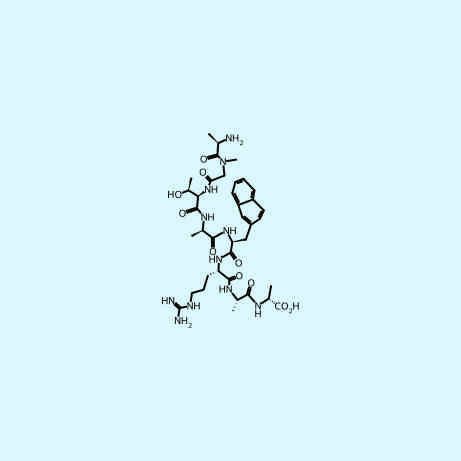 C[C@H](NC(=O)[C@H](CCCNC(=N)N)NC(=O)[C@H](Cc1ccc2ccccc2c1)NC(=O)[C@@H](C)NC(=O)[C@H](NC(=O)CN(C)C(=O)[C@@H](C)N)[C@H](C)O)C(=O)N[C@H](C)C(=O)O